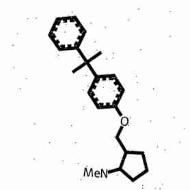 CNC1CCCC1COc1ccc(C(C)(C)c2ccccc2)cc1